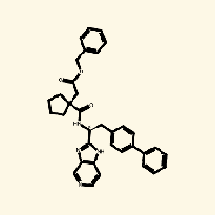 O=C(CC1(C(=O)N[C@@H](Cc2ccc(-c3ccccc3)cc2)c2nc3cnccc3[nH]2)CCCC1)OCc1ccccc1